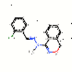 CN(/N=C/c1ccccc1Cl)C1=NOCc2ccccc21